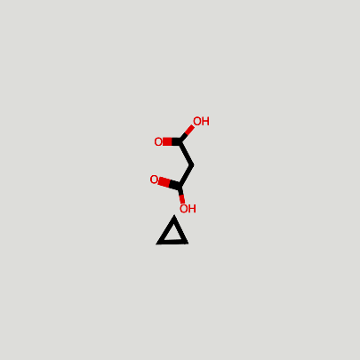 C1CC1.O=C(O)CC(=O)O